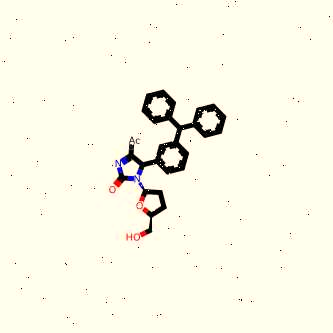 CC(=O)C1=NC(=O)N([C@H]2CC[C@@H](CO)O2)C1c1cccc(C(c2ccccc2)c2ccccc2)c1